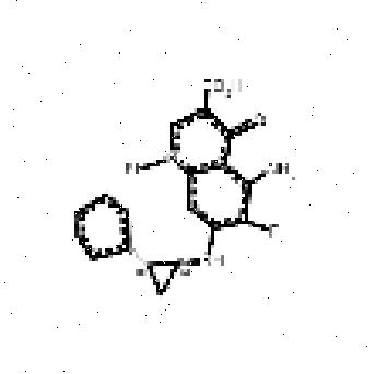 CCn1cc(C(=O)O)c(=O)c2c(N)c(F)c(N[C@H]3C[C@@H]3c3ccccc3)cc21